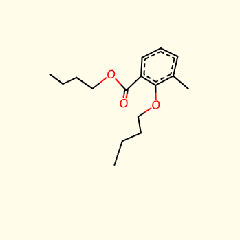 CCCCOC(=O)c1cccc(C)c1OCCCC